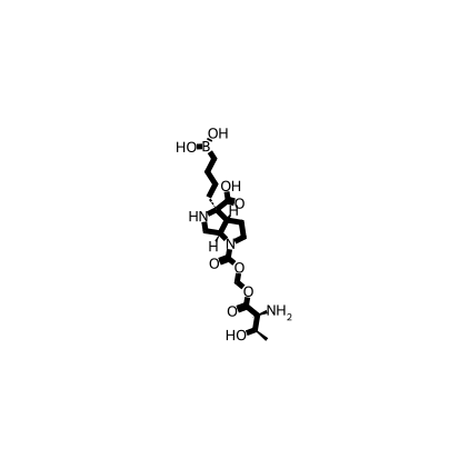 C[C@@H](O)[C@H](N)C(=O)OCOC(=O)N1CC[C@H]2[C@@H]1CN[C@@]2(CCCCB(O)O)C(=O)O